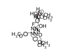 CCCCOc1nc(N(Cc2ccc(OC)cc2)Cc2ccc(OC)cc2)c2ncc(C(O)c3ccc(OC4C[C@@H]5CC[C@](C(C)(C)C)(C4)N5C(=O)O)cc3F)n2n1